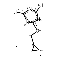 Clc1nc(Cl)nc(OCC2CC2)n1